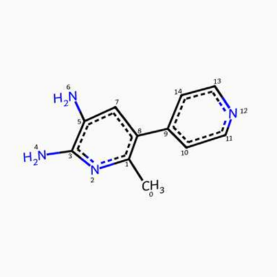 Cc1nc(N)c(N)cc1-c1ccncc1